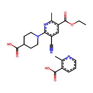 CCOC(=O)c1cc(C#N)c(N2CCC(C(=O)O)CC2)nc1C.Cc1ncccc1C(=O)O